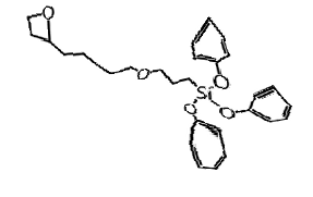 c1ccc(O[Si](CCCOCCCCC2CCO2)(Oc2ccccc2)Oc2ccccc2)cc1